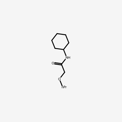 [CH2]CCOCC(=O)NC1CCCCC1